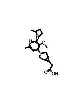 COc1c(N2CC3C(CC(=O)O)C3C2)cc(C)nc1N1CCC1C